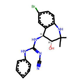 CC1(C)Nc2ccc(Br)cc2[C@H](NC(=NC#N)Nc2ccccc2)[C@H]1O